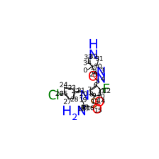 CC1(c2nnc(-c3cc4c(cc3F)S(=O)(=O)C[C@H](N)CN4Cc3ccc(Cl)cc3)o2)CCNCC1